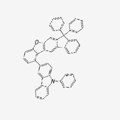 c1ccc(-n2c3ccccc3c3cc(-c4cccc5oc6cc7c(cc6c45)-c4ccccc4C7(c4ccccc4)c4ccccc4)ccc32)cc1